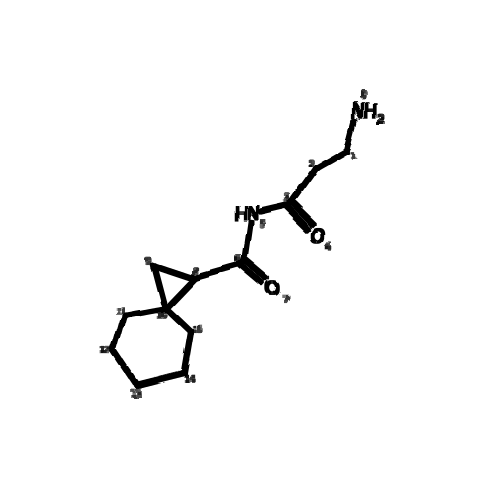 NCCC(=O)NC(=O)C1CC12CCCCC2